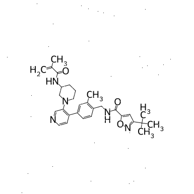 C=C(C)C(=O)NC1CCCN(c2cnccc2-c2ccc(CNC(=O)c3cc(C(C)(C)C)no3)c(C)c2)C1